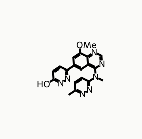 COc1cc(-c2ccc(O)nn2)cc2c(N(C)c3ccc(C)nn3)ncnc12